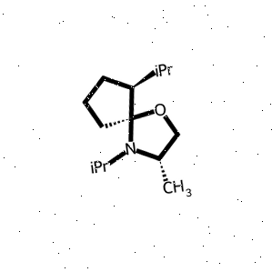 CC(C)[C@@H]1CCC[C@@]12OC[C@H](C)N2C(C)C